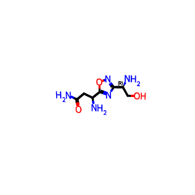 NC(=O)CC(N)c1nc([C@@H](N)CO)no1